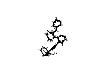 OC1(C#Cc2cnccc2-c2nccnc2Cc2ccccc2)CN2CCC1CC2